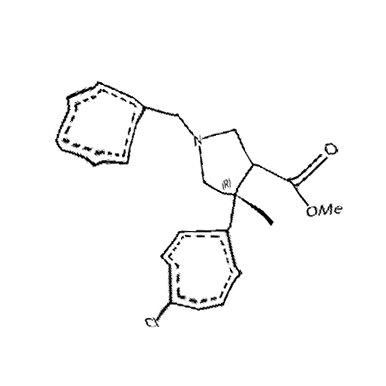 COC(=O)C1CN(Cc2ccccc2)C[C@@]1(C)c1ccc(Cl)cc1